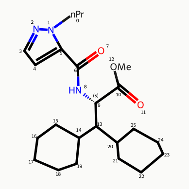 CCCn1nccc1C(=O)N[C@H](C(=O)OC)C(C1CCCCC1)C1CCCCC1